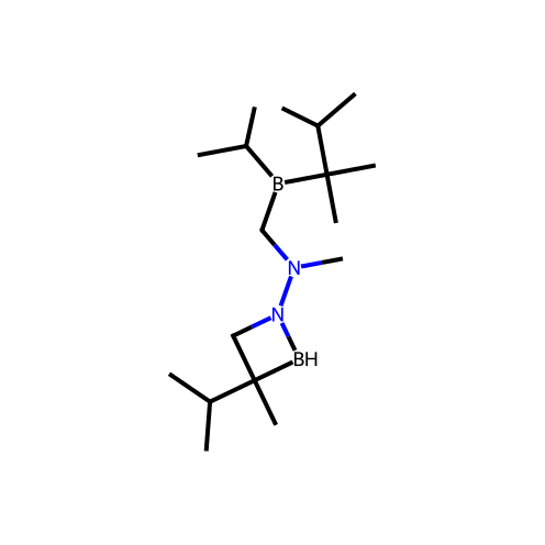 CC(C)B(CN(C)N1BC(C)(C(C)C)C1)C(C)(C)C(C)C